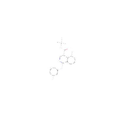 Cc1cccc2c(Nc3cc(F)cc(F)c3)ncc(C(=O)NC(C)(C)C)c12